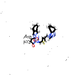 CC(=O)O[C@@H](C(=O)NCc1cc(Cn2cnc3ccccc32)cs1)[C@@H](OC(C)=O)C(=O)N1Cc2ccccc2C1